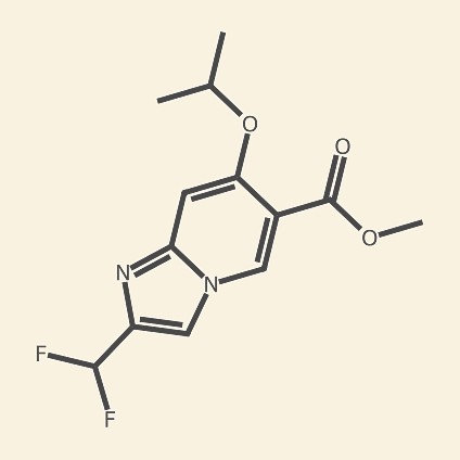 COC(=O)c1cn2cc(C(F)F)nc2cc1OC(C)C